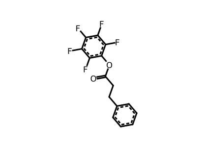 O=C(CCc1ccccc1)Oc1c(F)c(F)c(F)c(F)c1F